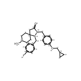 CN1CCC2(CC1)CC(=O)N(Cc1ccc(OCC3CC3)cc1)N2Cc1ccc(F)cc1